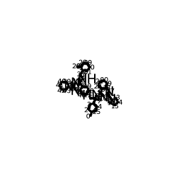 Cc1ccc(C(C)(C)Nc2nc(N3CCCC3)nc3ccccc23)cc1.Cc1ccccc1CNc1nc(N2CCCCC2)nc2ccccc12